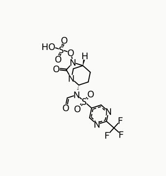 O=CN([C@H]1CC[C@@H]2CN1C(=O)N2OS(=O)(=O)O)S(=O)(=O)c1cnc(C(F)(F)F)nc1